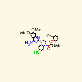 COc1cc2nc(N3CCN(C(=O)C(OC)Oc4ccccc4C(C)C)C4CCCC=C43)nc(N)c2cc1OC.Cl